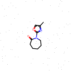 Cc1coc(N2CCCCCC2=O)n1